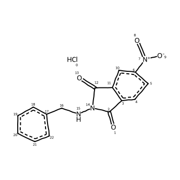 Cl.O=C1c2ccc([N+](=O)[O-])cc2C(=O)N1NCc1ccccc1